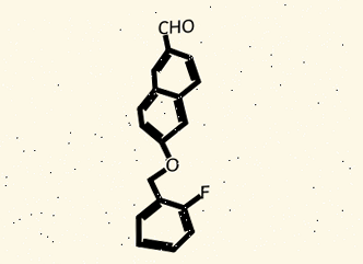 O=Cc1ccc2cc(OCc3ccccc3F)ccc2c1